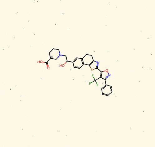 O=C(O)[C@H]1CCCN(CC(O)c2ccc3c(c2)CCc2nc(-c4onc(-c5ccccc5)c4C(F)(F)F)sc2-3)C1